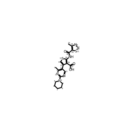 Cc1nc(N2CCCCC2)ncc1-c1csc(NC(=O)c2snnc2C)c1C(=O)O